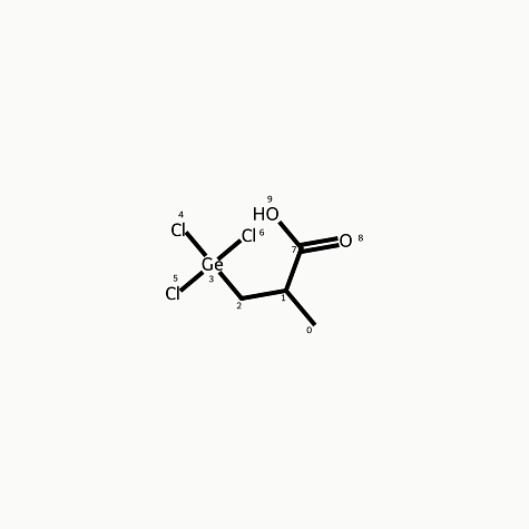 CC([CH2][Ge]([Cl])([Cl])[Cl])C(=O)O